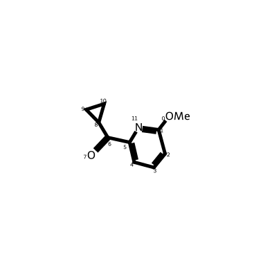 COc1cccc(C(=O)C2CC2)n1